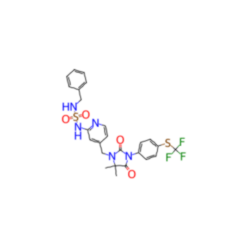 CC1(C)C(=O)N(c2ccc(SC(F)(F)F)cc2)C(=O)N1Cc1ccnc(NS(=O)(=O)NCc2ccccc2)c1